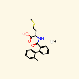 CSCC[C@H](NC(=O)c1ccccc1-c1ccccc1C)C(=O)O.[LiH]